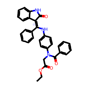 CCOC(=O)CN(C(=O)c1ccccc1)c1ccc(N/C(=C2\C(=O)Nc3ccccc32)c2ccccc2)cc1